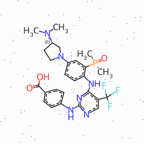 CN(C)[C@@H]1CCN(c2ccc(Nc3nc(Nc4ccc(C(=O)O)cc4)ncc3C(F)(F)F)c(P(C)(C)=O)c2)C1